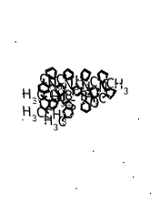 Cc1ccc2sc3c(c2c1)N(c1ccc2c(c1)C(C)(C)CCC2(C)C)c1cc(N(c2ccccc2C)c2c(C)cccc2C)cc2c1B3c1cc3c(cc1N2c1ccccc1)N(c1ccccc1)c1cc(N(c2ccccc2C)c2c(C)cccc2C)cc2c1B3c1ccccc1O2